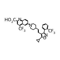 O=C(O)c1cc(C(F)(F)F)c2cc(N3CCC(C=Cc4c(-c5ccccc5C(F)(F)F)noc4C4CC4)CC3)ccc2n1